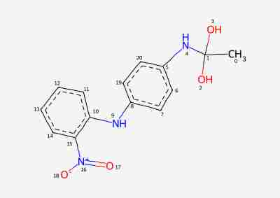 CC(O)(O)Nc1ccc(Nc2ccccc2[N+](=O)[O-])cc1